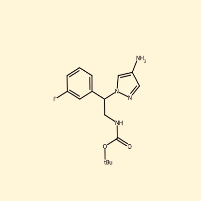 CC(C)(C)OC(=O)NCC(c1cccc(F)c1)n1cc(N)cn1